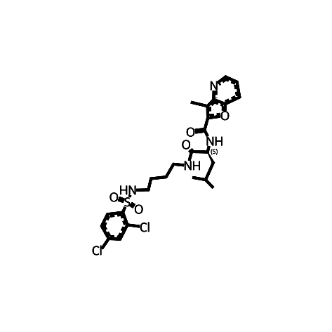 Cc1c(C(=O)N[C@@H](CC(C)C)C(=O)NCCCCNS(=O)(=O)c2ccc(Cl)cc2Cl)oc2cccnc12